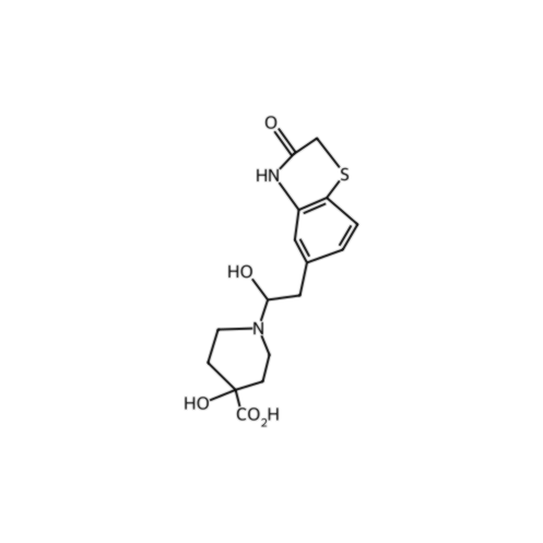 O=C1CSc2ccc(CC(O)N3CCC(O)(C(=O)O)CC3)cc2N1